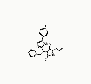 C=CC[C@H]1NC(=O)N([C@@H](Cc2ccccc2)c2ncc(-c3ccc(I)cc3)[nH]2)C1=O